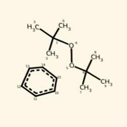 CC(C)(C)OOC(C)(C)C.c1ccccc1